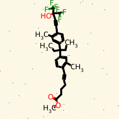 CCC(CC)(c1ccc(C#CCCCC(=O)OC)c(C)c1)c1ccc(C#CC(O)(C(F)(F)F)C(F)(F)F)c(C)c1